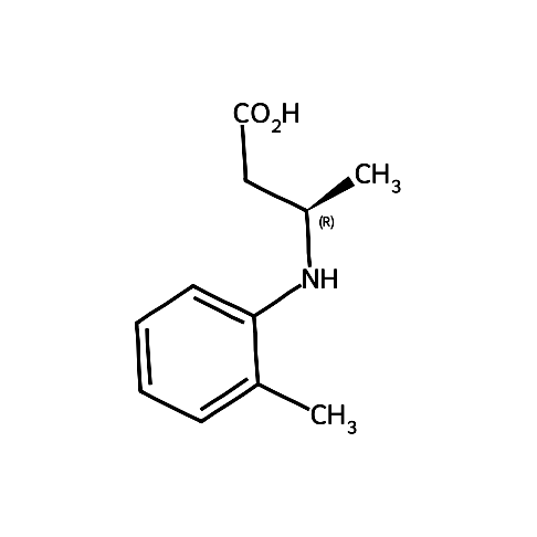 Cc1ccccc1N[C@H](C)CC(=O)O